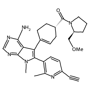 C#Cc1ccc(-c2c(C3=CC[C@@H](C(=O)N4CCC[C@H]4COC)CC3)c3c(N)ncnc3n2C)c(C)n1